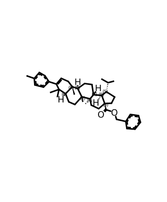 Cc1ccc(C2=CC[C@]3(C)[C@H]4CC[C@@H]5[C@H]6[C@H](C(C)C)CC[C@]6(C(=O)OCc6ccccc6)CC[C@@]5(C)[C@]4(C)CC[C@H]3C2(C)C)cc1